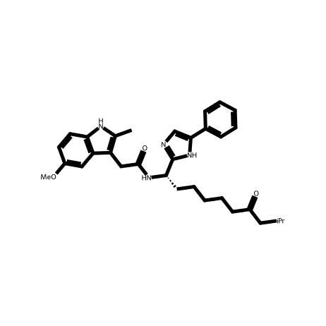 COc1ccc2[nH]c(C)c(CC(=O)N[C@@H](CCCCCC(=O)CC(C)C)c3ncc(-c4ccccc4)[nH]3)c2c1